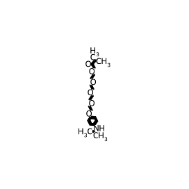 CC(C)Nc1ccc(OCCOCCOCCOCCOCC(=O)C(C)C)cc1